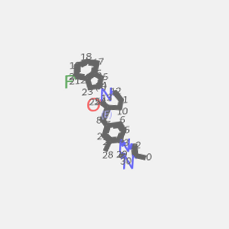 Cc1cn(-c2ccc(/C=C3\CCCN([C@@H]4Cc5cccc(F)c5C4)C3=O)cc2C)cn1